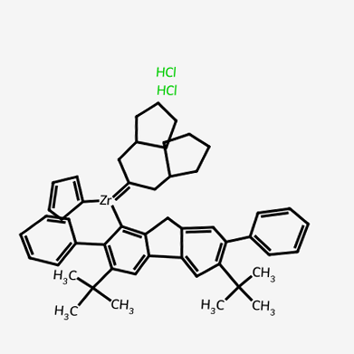 CC(C)(C)c1cc2c(cc1-c1ccccc1)Cc1c-2cc(C(C)(C)C)c(-c2ccccc2)[c]1[Zr]([C]1=CC=CC1)=[C](CC1CCCC1)CC1CCCC1.Cl.Cl